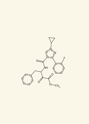 COC(=O)C(=O)C(Cc1ccccc1)NC(=O)c1cn(C2CC2)nc1-c1ccccc1F